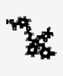 CC(C)(C)OC(=O)/N=c1/n(CCCOc2cccc(C(=O)O)c2)c2ccccc2n1Cc1cccc(Br)c1